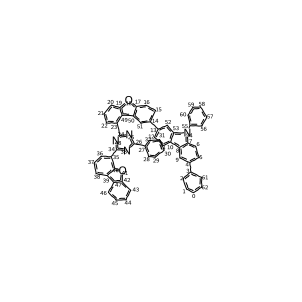 c1ccc(-c2ccc3c(c2)c2ccc(-c4ccc5oc6cccc(-c7nc(-c8ccccc8)nc(-c8cccc9c8oc8ccccc89)n7)c6c5c4)cc2n3-c2ccccc2)cc1